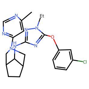 CCn1nc(NC2C3CCC2CN(c2cc(C)ncn2)C3)nc1Oc1cccc(Cl)c1